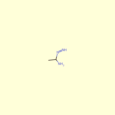 CC(N)N=N